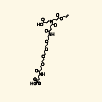 C=CCOC(=O)CCN(CCC(=O)O)C(=O)CCC(=O)NCCOCCOCCOCCOCCC(=O)NCCS(=O)(=O)O